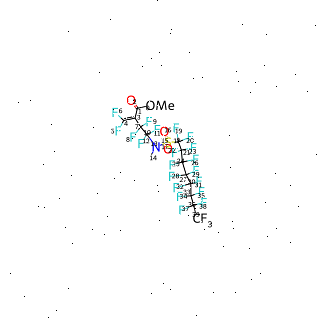 COC(=O)C(=C(F)F)C(F)(F)C(F)(F)N(C)S(=O)(=O)C(F)(F)C(F)(F)C(F)(F)C(F)(F)C(F)(F)C(F)(F)C(F)(F)C(F)(F)F